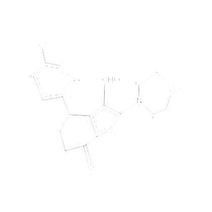 O=Cc1c(N2CCOCC2)sc2c1C(c1ccc(Cl)cc1)CCC2=O